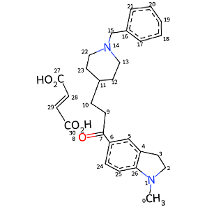 CN1CCc2cc(C(=O)CCC3CCN(Cc4ccccc4)CC3)ccc21.O=C(O)C=CC(=O)O